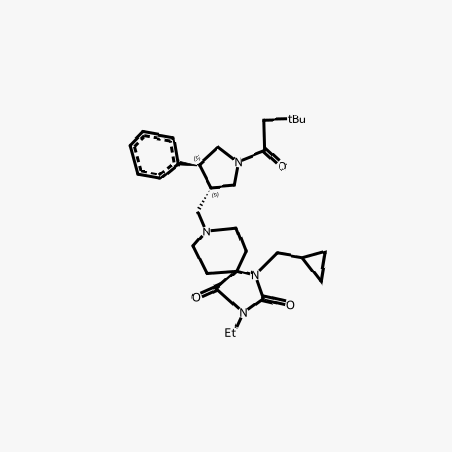 CCN1C(=O)N(CC2CC2)C2(CCN(C[C@H]3CN(C(=O)CC(C)(C)C)C[C@@H]3c3ccccc3)CC2)C1=O